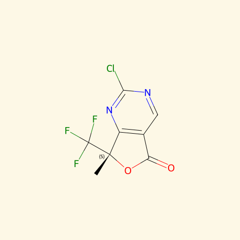 C[C@]1(C(F)(F)F)OC(=O)c2cnc(Cl)nc21